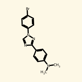 CN(C)c1ccc(-c2ncn(-c3ccc(Br)cc3)n2)cc1